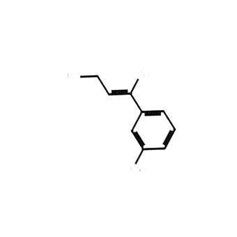 CC(=CCO)c1cccc(C#N)c1